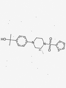 C[C@@H]1CN(c2ccc(C(C)(C)O)cc2)CCN1S(=O)(=O)c1cccs1